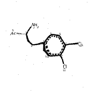 CC(=O)[C@H](N)Cc1ccc(Cl)c(Cl)c1